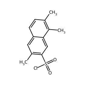 Cc1cc2ccc(C)c(C)c2cc1S(=O)(=O)Cl